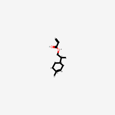 C=CC(=O)OCC(C)C1CC=C(C)CC1